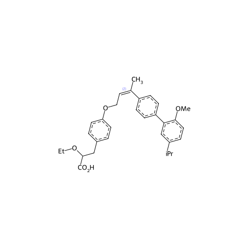 CCOC(Cc1ccc(OC/C=C(/C)c2ccc(-c3cc(C(C)C)ccc3OC)cc2)cc1)C(=O)O